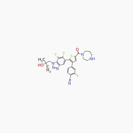 CC(C)(O)Cn1nnc2cc(-c3sc(C(=O)N4CCCNCC4)cc3-c3ccc(C#N)c(F)c3)c(F)c(F)c21